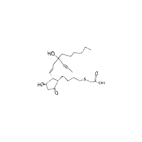 CC#CC(O)(CC=C[C@H]1[C@H](O)CC(=O)[C@@H]1CCCCSCC(=O)O)CCCCCC